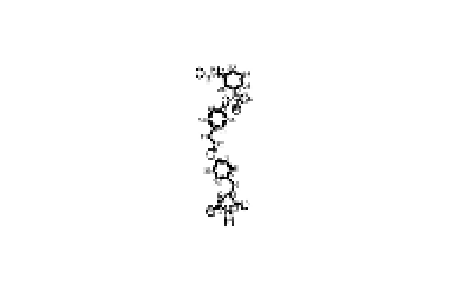 O=C1NC(=O)C(Cc2ccc(OCCc3ccc(OS(=O)(=O)c4cccc([N+](=O)[O-])c4)cc3)cc2)S1